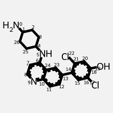 NC1CCC(Nc2[c]cnc3ccc(-c4cc(Cl)c(O)cc4Cl)cc23)CC1